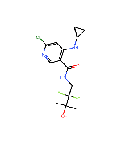 CC(C)(O)C(F)(F)CNC(=O)c1cnc(Cl)cc1NC1CC1